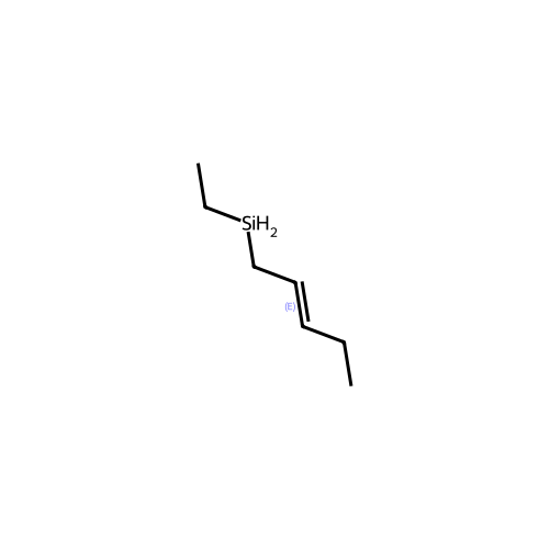 CC/C=C/C[SiH2]CC